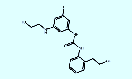 O=C(Nc1cc(F)cc(NCCO)c1)Nc1ccccc1CCO